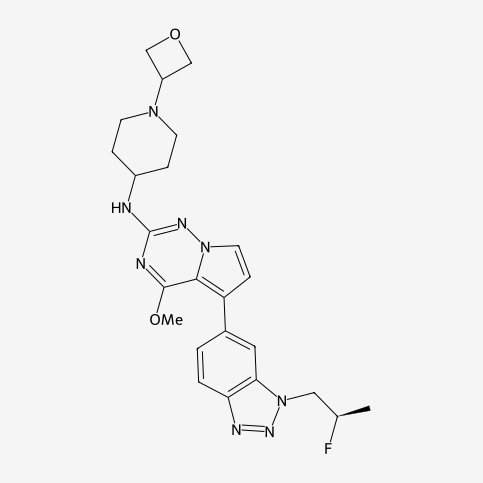 COc1nc(NC2CCN(C3COC3)CC2)nn2ccc(-c3ccc4nnn(C[C@@H](C)F)c4c3)c12